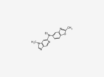 CCN(c1ccc2oc(C)nc2c1)c1cc2c(cn1)ncn2C